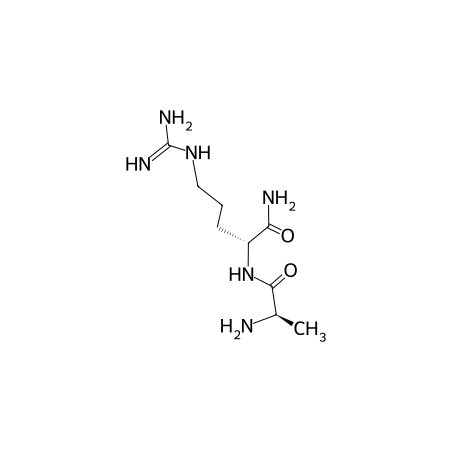 C[C@@H](N)C(=O)N[C@H](CCCNC(=N)N)C(N)=O